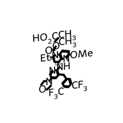 CC[C@@H]1C[C@H](Nc2ncc(N3CCOCC3)cc2Cc2cc(C(F)(F)F)cc(C(F)(F)F)c2)c2nc(OC)ccc2N1C(=O)OCC(C)(C)C(=O)O